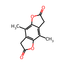 Cc1c2c(c(C)c3c1OC(=O)C3)OC(=O)C2